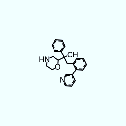 OC(Cc1ccccc1-c1cccnc1)(c1ccccc1)C1CNCCO1